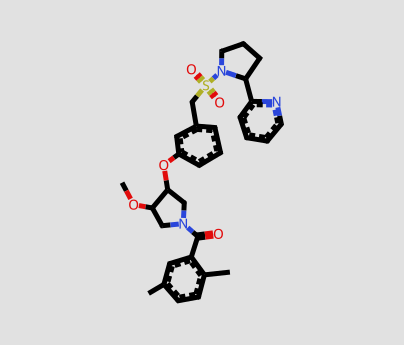 COC1CN(C(=O)c2cc(C)ccc2C)CC1Oc1cccc(CS(=O)(=O)N2CCCC2c2ccccn2)c1